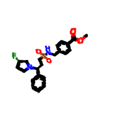 COC(=O)c1ccc(CNS(=O)(=O)CC[C@@H](c2ccccc2)N2CC[C@H](F)C2)cc1